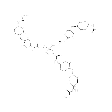 CCC(COC(=O)NC1CCC(CC2CCC(NC(C)=O)CC2)CC1)(COC(=O)NC1CCC(CC2CCC(NC(=O)OC)CC2)CC1)COC(=O)NC1CCC(CC2CCC(NC(=O)OC)CC2)CC1